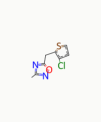 Cc1noc(Cc2sccc2Cl)n1